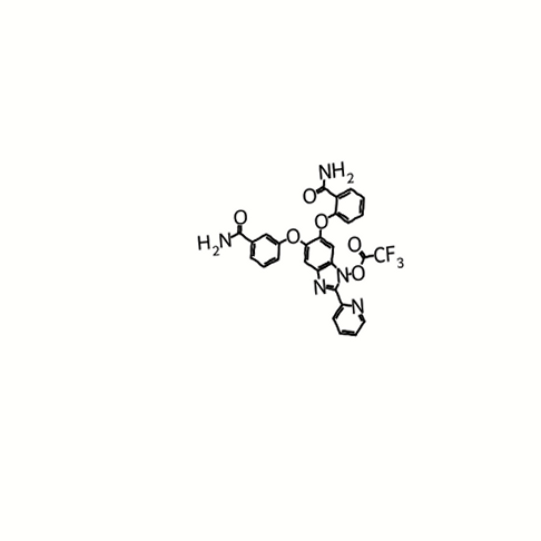 NC(=O)c1cccc(Oc2cc3nc(-c4ccccn4)n(OC(=O)C(F)(F)F)c3cc2Oc2ccccc2C(N)=O)c1